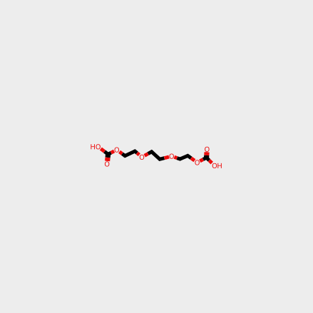 O=C(O)OCCOCCOCCOC(=O)O